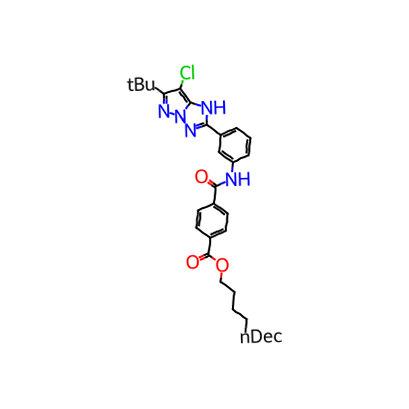 CCCCCCCCCCCCCCOC(=O)c1ccc(C(=O)Nc2cccc(-c3nn4nc(C(C)(C)C)c(Cl)c4[nH]3)c2)cc1